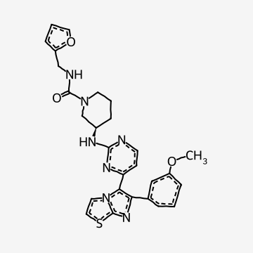 COc1cccc(-c2nc3sccn3c2-c2ccnc(N[C@@H]3CCCN(C(=O)NCc4ccco4)C3)n2)c1